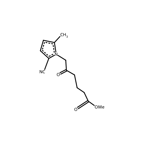 COC(=O)CCCC(=O)Cn1c(C)ccc1C#N